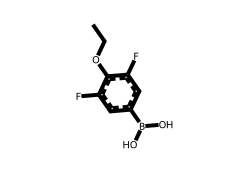 CCOc1c(F)cc(B(O)O)cc1F